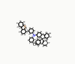 Cc1cccc(N(c2cccc(-c3cccc4c3sc3ccccc34)c2)c2ccc3c(c2)C(C2=CC=CCC2)(c2ccccc2)c2ccccc2-3)c1